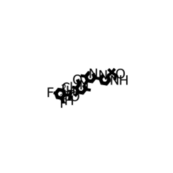 [2H]C([2H])(Oc1cc(C)n(-c2cc(-c3ccc4c(n3)C(C)(C)C(=O)N4)ncc2C)c(=O)c1Cl)c1ccc(F)cc1F